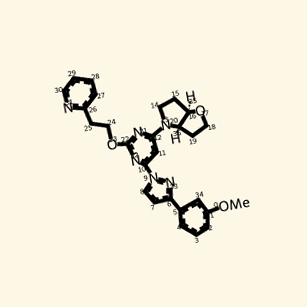 COc1cccc(-c2ccn(-c3cc(N4CC[C@H]5OCC[C@H]54)nc(OCCc4ccccn4)n3)n2)c1